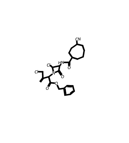 C=C(CCl)C(C(=O)OCc1ccccc1)N1C(=O)C(NC(=O)C2CCCCC(C#N)CC2)C1Cl